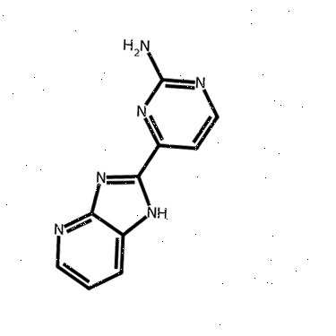 Nc1nccc(-c2nc3ncccc3[nH]2)n1